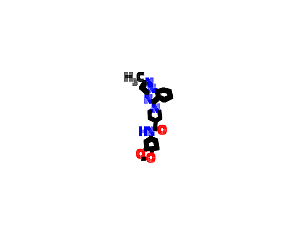 Cc1cc2nc(N3CCC(C(=O)Nc4ccc5c(c4)OCO5)CC3)c3ccccc3n2n1